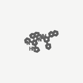 C1=CCNC(c2cc(C3=NC(c4cc(-c5ccccc5)cc(-c5ccc6ccccc6c5)c4)Nc4ccc5ccccc5c43)cc(-c3ccccn3)c2)=C1